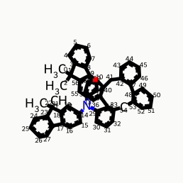 CC1(C)c2ccccc2-c2ccc(N(c3ccc4c(c3)C(C)(C)c3ccccc3-4)c3cccc4c3-c3ccccc3Cc3ccccc3-c3ccccc3C4)cc21